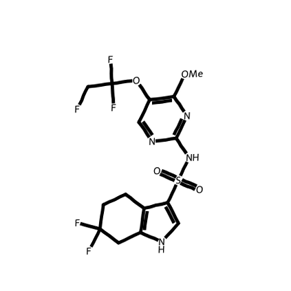 COc1nc(NS(=O)(=O)c2c[nH]c3c2CCC(F)(F)C3)ncc1OC(F)(F)CF